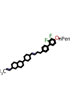 C/C=C/C1CCC2CC(C3CCC(/C=C/CCc4ccc(-c5ccc(OCCCCC)c(F)c5F)cc4)CC3)CCC2C1